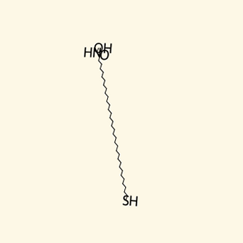 O=C(CCCCCCCCCCCCCCCCCCCCCCCCCCCCCCCCCCS)NO